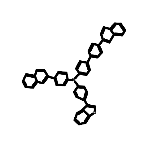 c1ccc2cc(-c3ccc(-c4ccc(N(c5ccc(-c6ccc7ccccc7c6)cc5)c5ccc(-c6coc7ccccc67)cc5)cc4)cc3)ccc2c1